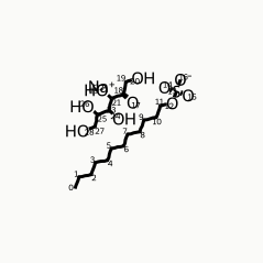 CCCCCCCCCCCCOS(=O)(=O)[O-].O=C(CO)C(O)C(O)C(O)CO.[Na+]